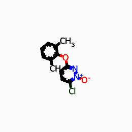 Cc1cccc(C)c1Oc1ccc(Cl)[n+]([O-])n1